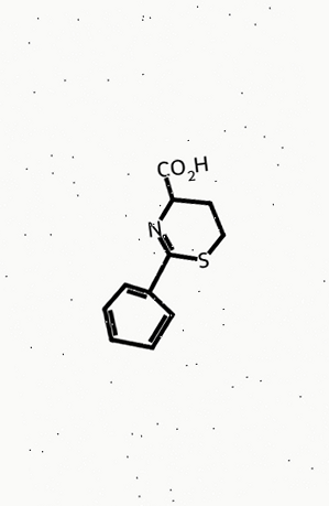 O=C(O)C1CCSC(c2ccccc2)=N1